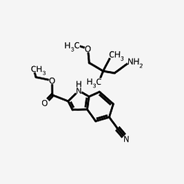 CCOC(=O)c1cc2cc(C#N)ccc2[nH]1.COCC(C)(C)CN